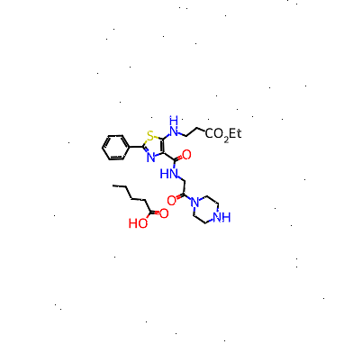 CCCCC(=O)O.CCOC(=O)CCNc1sc(-c2ccccc2)nc1C(=O)NCC(=O)N1CCNCC1